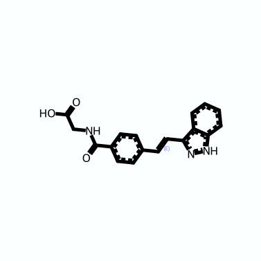 O=C(O)CNC(=O)c1ccc(/C=C/c2n[nH]c3ccccc23)cc1